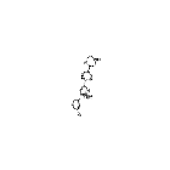 Clc1cccc(-c2cc(-c3ccc(C4CNCCO4)cc3)n[nH]2)c1